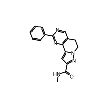 CNC(=O)c1cc2n(n1)CCc1cnc(-c3ccccc3)nc1-2